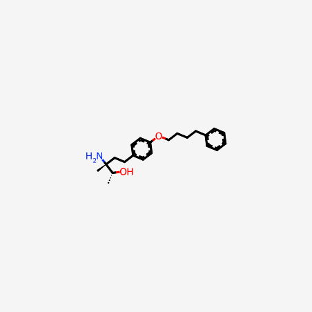 C[C@@H](O)[C@](C)(N)CCc1ccc(OCCCCc2ccccc2)cc1